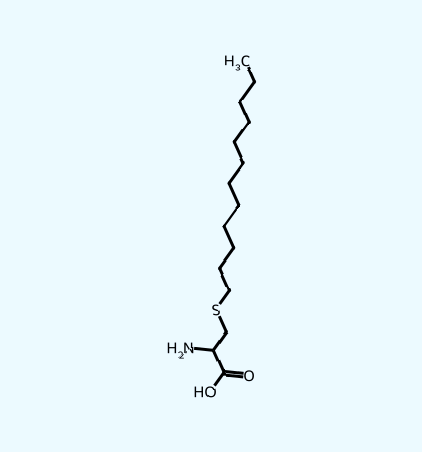 CCCCCCCCCCCCSCC(N)C(=O)O